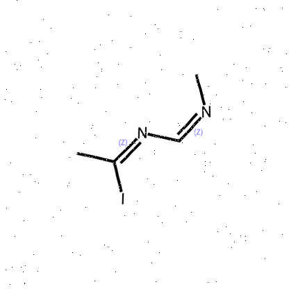 C/N=C\N=C(\C)I